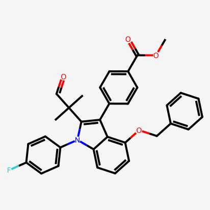 COC(=O)c1ccc(-c2c(C(C)(C)C=O)n(-c3ccc(F)cc3)c3cccc(OCc4ccccc4)c23)cc1